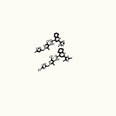 CCc1nc(Cn2nc(C(F)(F)F)c(NC(=O)c3cc(-c4sc(C)nc4C)nc4ccccc34)c2C)no1.Cc1cc(Cn2nc(C(F)(F)F)c(NC(=O)c3cc(-c4ncnn4C)nc4ccccc34)c2C)no1